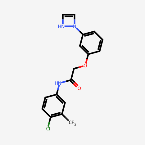 O=C(COc1cccc(-n2cc[nH]2)c1)Nc1ccc(Cl)c(C(F)(F)F)c1